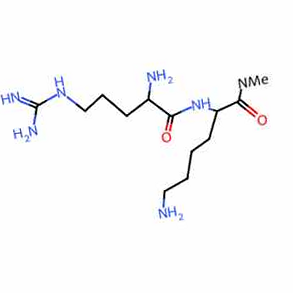 CNC(=O)C(CCCCN)NC(=O)C(N)CCCNC(=N)N